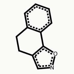 c1ccc2c(c1)CCc1cnoc1-2